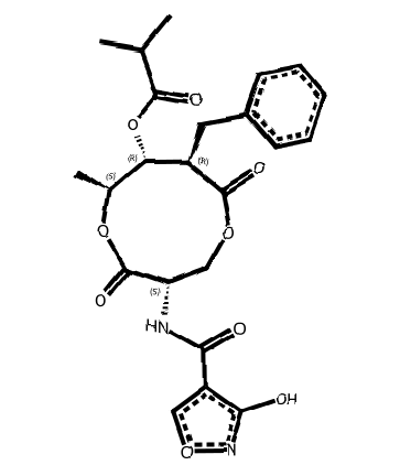 CC(C)C(=O)O[C@H]1[C@H](C)OC(=O)[C@@H](NC(=O)c2conc2O)COC(=O)[C@@H]1Cc1ccccc1